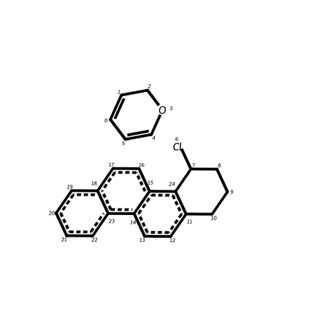 C1=CCOC=C1.ClC1CCCc2ccc3c(ccc4ccccc43)c21